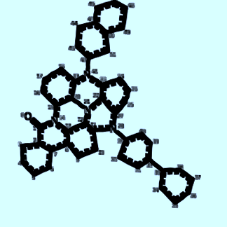 O=c1c2ccccc2c2ccc3c4c2n1c1cccc2c1-n4c1c(cccc1n3-c1ccc(-c3ccccc3)cc1)n2-c1ccc2ccccc2c1